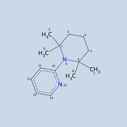 CC1(C)CCCC(C)(C)N1c1ccccn1